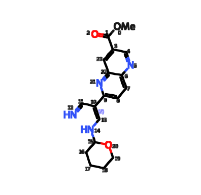 COC(=O)c1cnc2ccc(/C(C=N)=C/NC3CCCCO3)nc2c1